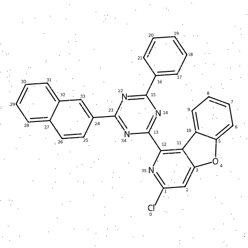 Clc1cc2oc3ccccc3c2c(-c2nc(-c3ccccc3)nc(-c3ccc4ccccc4c3)n2)n1